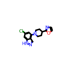 Clc1cc(N2CCC(c3nc#co3)CC2)c2cn[nH]c2c1